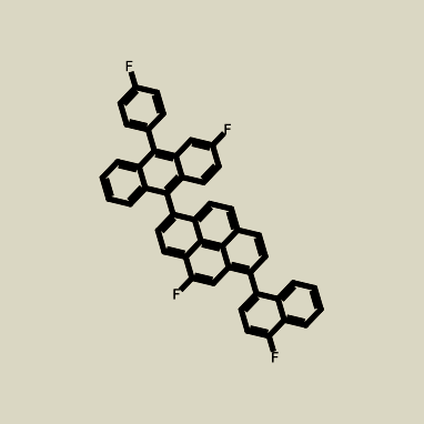 Fc1ccc(-c2c3ccccc3c(-c3ccc4c(F)cc5c(-c6ccc(F)c7ccccc67)ccc6ccc3c4c65)c3ccc(F)cc23)cc1